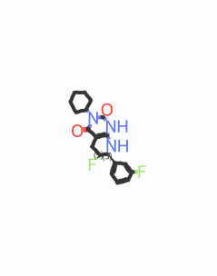 O=c1[nH]c2c(c(=O)n1C1CCCCC1)C[C@H](F)[C@H](c1cccc(F)c1)N2